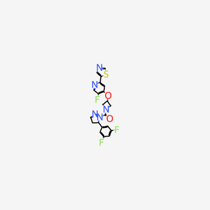 O=C(N1CC(Oc2cc(-c3cncs3)ncc2F)C1)N1N=CCC1c1cc(F)cc(F)c1